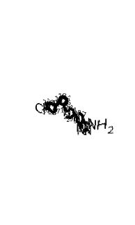 Nc1ncnc2c1CCN(C1CCN(Cc3ccccc3-c3ccc(Cl)cc3)CC1)C2